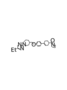 CCc1cnc(N2CCCC(COc3ccc(C4=CCC(C(=O)N5CCC5)CC4)cc3)CC2)nc1